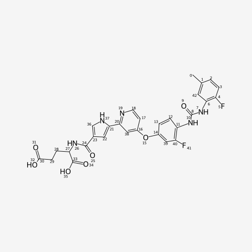 Cc1ccc(F)c(NC(=O)Nc2ccc(Oc3ccnc(-c4cc(C(=O)NC(CCC(=O)O)C(=O)O)c[nH]4)c3)cc2F)c1